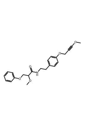 COC#CCOc1ccc(CCNC(=O)C(COc2ccccc2)OC)cc1